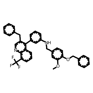 COc1cc(CNc2cccc(-c3c(Cc4ccccc4)cnc4c(C(F)(F)F)cccc34)c2)ccc1OCc1ccccc1